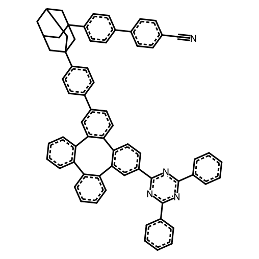 N#Cc1ccc(-c2ccc(C34CC5CC(C3)CC(c3ccc(-c6ccc7c(c6)-c6ccccc6-c6ccccc6-c6cc(-c8nc(-c9ccccc9)nc(-c9ccccc9)n8)ccc6-7)cc3)(C5)C4)cc2)cc1